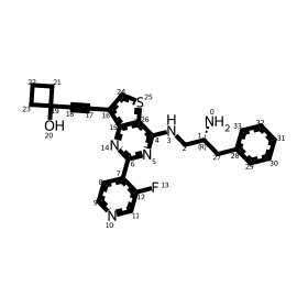 N[C@@H](CNc1nc(-c2ccncc2F)nc2c(C#CC3(O)CCC3)csc12)Cc1ccccc1